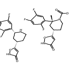 C[C@]1(c2cc(F)c(F)cc2F)C[C@@H](c2cc(=O)[nH]o2)CCN1C(=O)O.O=c1cc([C@H]2CCN[C@@H](c3cc(F)c(F)cc3F)C2)o[nH]1